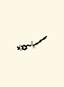 CC#CC#CC#CC(=O)NCCc1ccc2c(c1)OC(C)(C)O2